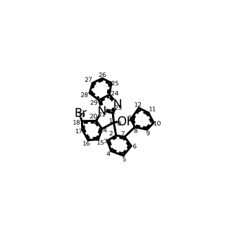 OC1(c2ccccc2-c2ccccc2)c2cccc(Br)c2-n2c1nc1ccccc12